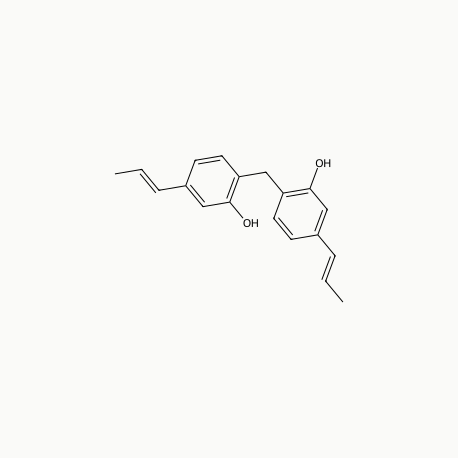 CC=Cc1ccc(Cc2ccc(C=CC)cc2O)c(O)c1